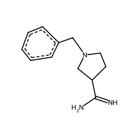 N=C(N)C1CCN(Cc2ccccc2)C1